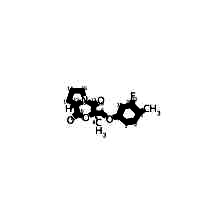 Cc1ccc(OC[C@@]2(C)OC(=O)[C@H]3CCCN3C2=O)cc1F